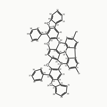 Cc1cc2c3c(c1)c1cc(C)cc4c1n3-c1c3c(cc5c1B4c1cc4c(oc6ccccc64)c(-c4ccccc4)c1O5)Oc1c(cc4c(oc5ccccc54)c1-c1ccccc1)B32